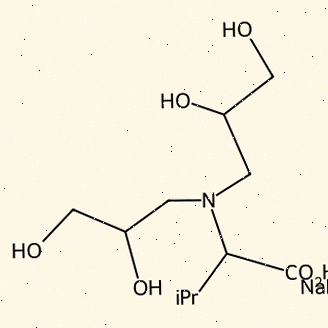 CC(C)C(C(=O)O)N(CC(O)CO)CC(O)CO.[NaH]